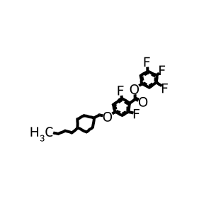 CCCCC1CCC(COc2cc(F)c(C(=O)Oc3cc(F)c(F)c(F)c3)c(F)c2)CC1